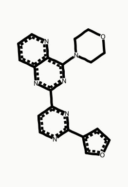 c1cnc2c(N3CCOCC3)nc(-c3ccnc(-c4ccoc4)n3)nc2c1